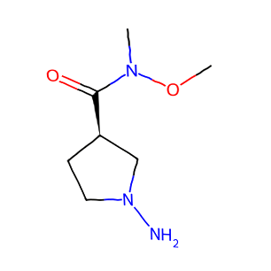 CON(C)C(=O)[C@@H]1CCN(N)C1